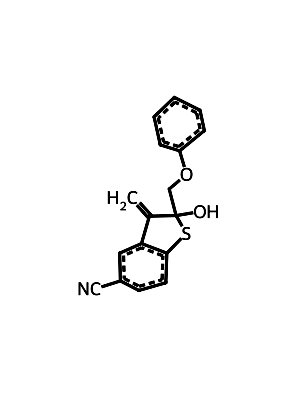 C=C1c2cc(C#N)ccc2SC1(O)COc1ccccc1